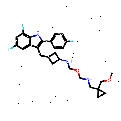 COCC1(CNCOCNC2CC(Cc3c(-c4ccc(F)cc4)[nH]c4c(F)cc(F)cc34)C2)CC1